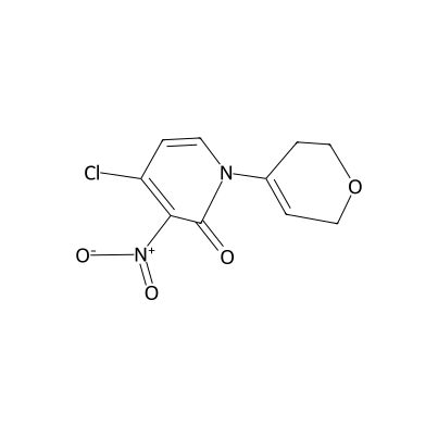 O=c1c([N+](=O)[O-])c(Cl)ccn1C1=CCOCC1